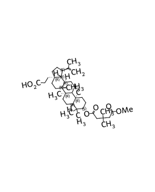 C=C(C)[C@@H]1CC[C@]2(CCC(=O)O)CC[C@]3(C)[C@H](CCC4[C@@]5(C)CC[C@H](OC(=O)CC(C)(C)CC(=O)OC)C(C)(C)[C@@H]5CC[C@]43C)[C@@H]12